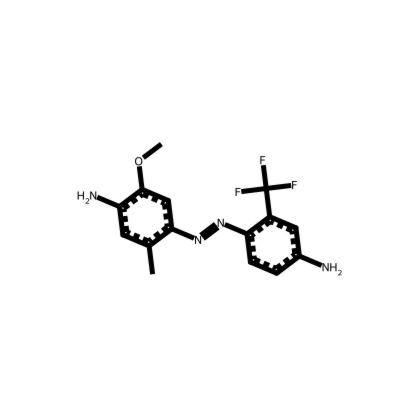 COc1cc(/N=N/c2ccc(N)cc2C(F)(F)F)c(C)cc1N